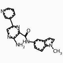 Cn1ccc2cc(NC(=O)c3nc(-c4cccnc4)cnc3N)ccc21